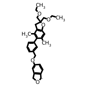 CCOCC1(COCC)Cc2c(cc(C)c(-c3cccc(COc4ccc5c(c4)CO[CH]5)c3)c2C)O1